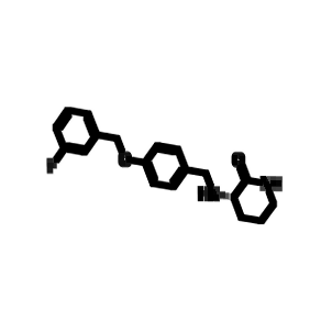 O=C1NCCC[C@@H]1NCc1ccc(OCc2cccc(F)c2)cc1